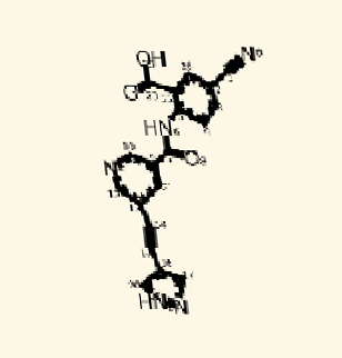 N#Cc1ccc(NC(=O)c2cncc(C#Cc3cn[nH]c3)c2)c(C(=O)O)c1